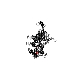 COc1ccccc1-c1nccc(COc2ccccc2C[C@@H](Oc2ncnc3sc(-c4ccc(F)cc4)c(-c4ccc(OCCN5CC[N+](C)(Cc6ccc(NC(=O)[C@H](CCCNC(N)=O)NC(=O)[C@@H](NC(=O)CCOCCN7C(=O)C=CC7=O)C(C)C)cc6CN(C)C(=O)C[C@H](NC(=O)OCCC(=O)O)C(=O)O)CC5)c(Cl)c4C)c23)C(=O)O)n1